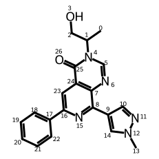 CC(CO)n1cnc2c(-c3cnn(C)c3)nc(-c3ccccc3)cc2c1=O